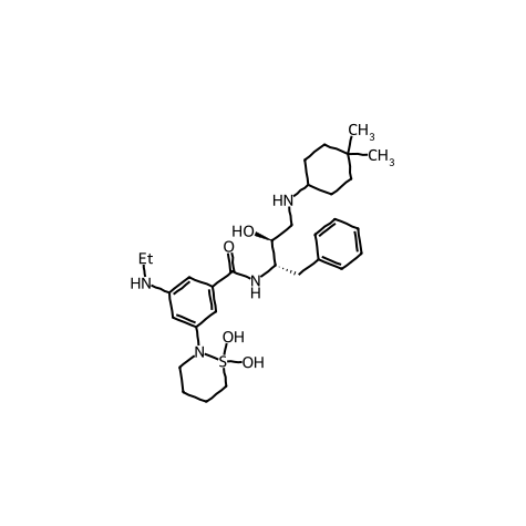 CCNc1cc(C(=O)N[C@@H](Cc2ccccc2)[C@@H](O)CNC2CCC(C)(C)CC2)cc(N2CCCCS2(O)O)c1